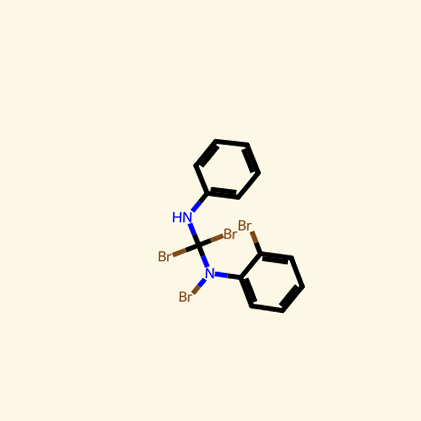 Brc1ccccc1N(Br)C(Br)(Br)Nc1ccccc1